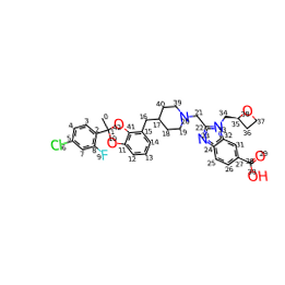 CC1(c2ccc(Cl)cc2F)Oc2cccc(CC3CCN(Cc4nc5ccc(C(=O)O)cc5n4C[C@@H]4CCO4)CC3)c2O1